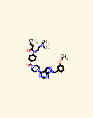 CC=CC(=O)N(CCN(C)C)[C@H]1CC[C@H](C(=O)N2CCN(c3ncnc4c3cnn4Cc3cccc(OCC)c3)CC2)CC1